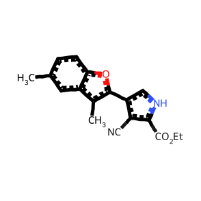 CCOC(=O)c1[nH]cc(-c2oc3ccc(C)cc3c2C)c1C#N